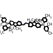 CC1=CCC(N(C2=CC3=C(CC2)c2ccc(/C=C/c4ccc5c(c4)C(C)(C)c4cc(N(C6=CCC(C)C=C6C)c6ccc(C)cc6C)ccc4-5)cc2C3(C)C)c2ccc(C)cc2C)C(C)=C1